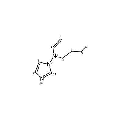 C=CN(CCCC)n1ccnc1